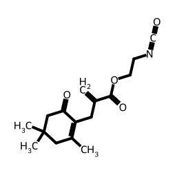 C=C(CC1=C(C)CC(C)(C)CC1=O)C(=O)OCCN=C=O